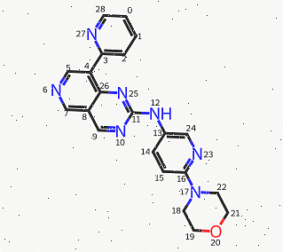 c1ccc(-c2cncc3cnc(Nc4ccc(N5CCOCC5)nc4)nc23)nc1